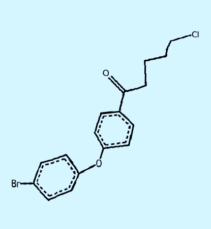 O=C(CCCCCl)c1ccc(Oc2ccc(Br)cc2)cc1